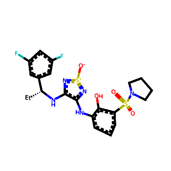 CC[C@@H](Nc1n[s+]([O-])nc1Nc1cccc(S(=O)(=O)N2CCCC2)c1O)c1cc(F)cc(F)c1